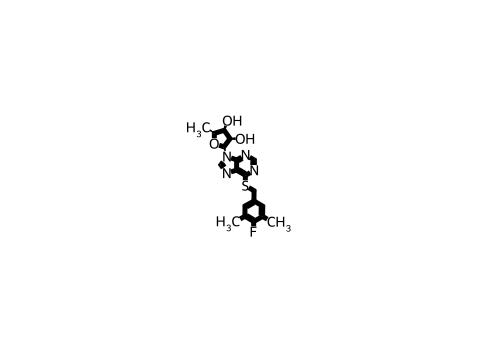 Cc1cc(CSc2ncnc3c2ncn3[C@@H]2O[C@H](C)[C@@H](O)[C@H]2O)cc(C)c1F